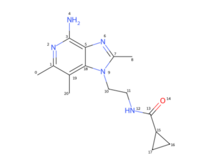 Cc1nc(N)c2nc(C)n(CCNC(=O)C3CC3)c2c1C